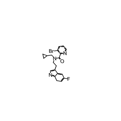 O=C(c1ncccc1Br)N(CCC1=CN=C2CC=C(F)C=C12)CC1CC1